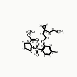 Cc1ccc(S(=O)(=O)N2CCC[C@H]2C(=O)OC(C)(C)C)c(OCCC2(CCO)CC2)c1